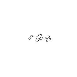 N#Cc1cccc(-c2cccc(-c3nc(-c4ccccc4)nc(-c4ccccc4-c4ccc5c(c4)Oc4c(ccc6c4-c4ccccc4C6(c4ccccc4)c4ccccc4)O5)n3)c2)c1